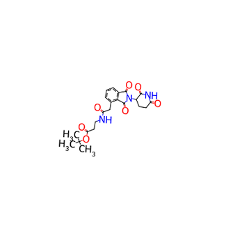 CC(C)(C)OC(=O)CCNC(=O)Cc1cccc2c1C(=O)N(C1CCC(=O)NC1=O)C2=O